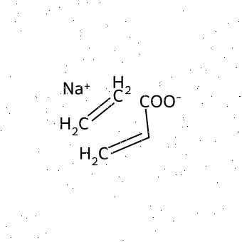 C=C.C=CC(=O)[O-].[Na+]